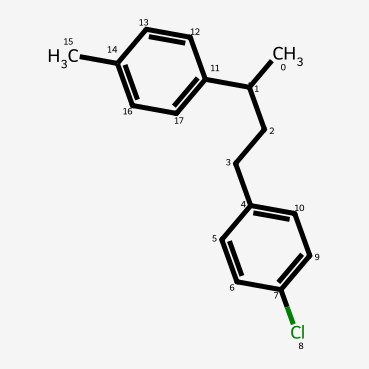 C[C](CCc1ccc(Cl)cc1)c1ccc(C)cc1